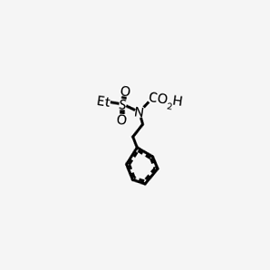 CCS(=O)(=O)N(CCc1ccccc1)C(=O)O